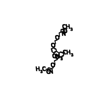 Cc1ccc(OCCCOCc2cc(C)on2)c(-c2cc(OCCCOCCc3cc(C)on3)ccc2C)c1